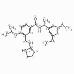 COc1cc(OC)cc(C(C)NC(=O)c2ccc(OC(C)C)c(CNC3=NCCN3)c2)c1